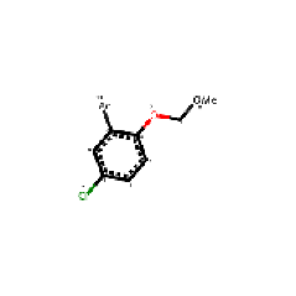 COCOc1ccc(Cl)cc1C(C)=O